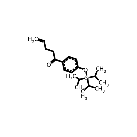 C=CCCC(=O)c1ccc(O[Si](C(C)C)(C(C)C)C(C)C)cc1